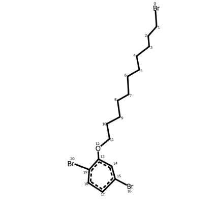 BrCCCCCCCCCCCOc1cc(Br)ccc1Br